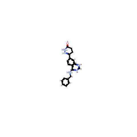 O=C1CCC(c2ccc3c(NCc4ccccc4)ncnc3c2)=NN1